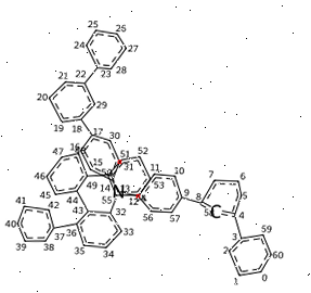 c1ccc(-c2cccc(-c3ccc(N(c4ccc(-c5cccc(-c6ccccc6)c5)cc4)c4cccc(-c5ccccc5)c4-c4ccccc4-c4ccccc4)cc3)c2)cc1